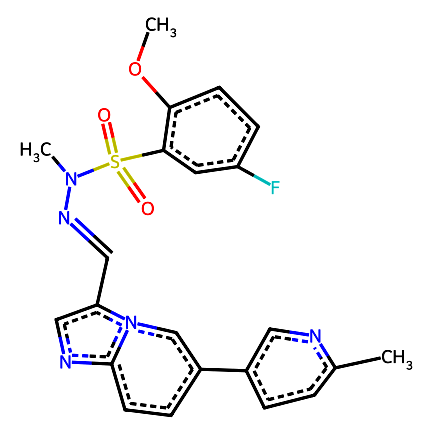 COc1ccc(F)cc1S(=O)(=O)N(C)N=Cc1cnc2ccc(-c3ccc(C)nc3)cn12